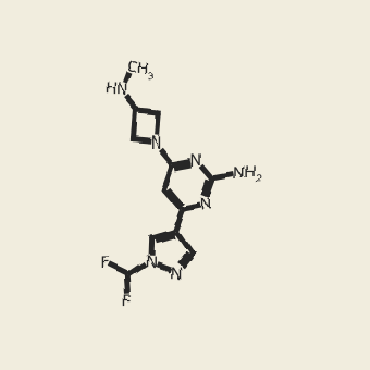 CNC1CN(c2cc(-c3cnn(C(F)F)c3)nc(N)n2)C1